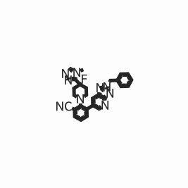 Cn1cnnc1C1(F)CCN(c2c(C#N)cccc2-c2cnc3nn(Cc4ccccc4)nc3c2)CC1